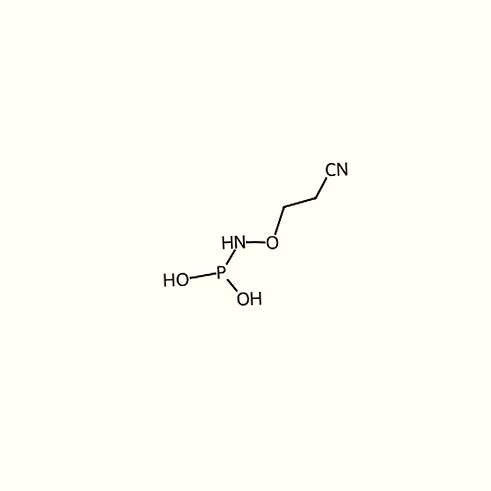 N#CCCONP(O)O